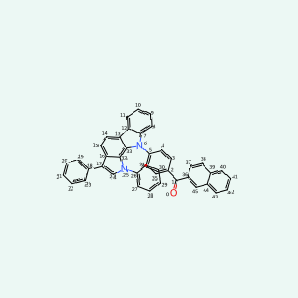 O=C(c1ccc(-n2c3ccccc3c3ccc4c(-c5ccccc5)cn(-c5ccccc5)c4c32)cc1)c1ccc2ccccc2c1